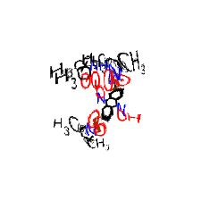 C[C@@H]1C[C@H](C)CN(S(=O)(=O)c2ccc3c(c2)C(=NOCOC(=O)C(N)C(C)(C)C)c2cc(S(=O)(=O)N4C[C@H](C)C[C@H](C)C4)ccc2C3=NO)C1